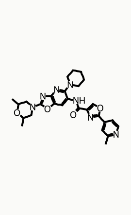 Cc1cc(-c2nc(C(=O)Nc3cc4oc(N5CC(C)OC(C)C5)nc4nc3N3CCCCC3)co2)ccn1